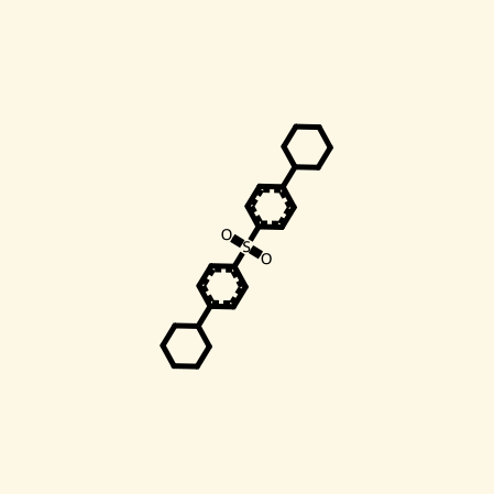 O=S(=O)(c1ccc(C2CCCCC2)cc1)c1ccc(C2CCCCC2)cc1